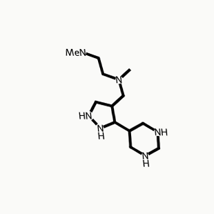 CNCCN(C)CC1CNNC1C1CNCNC1